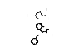 O=c1oc2cc(O[C@@H]3O[C@H](CO)[C@H](O)[C@H](O)[C@H]3O)ccc2c(OCc2ccccc2)c1O